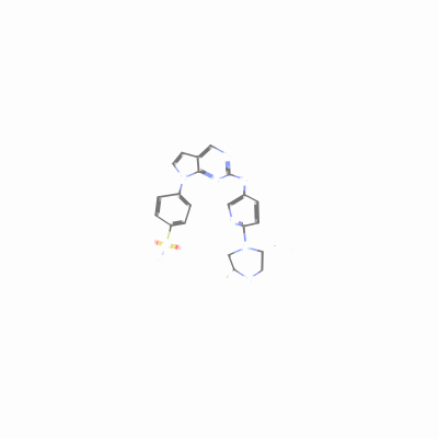 C[C@@H]1CN[C@@H](C)CN1c1ccc(Nc2ncc3ccn(-c4ccc(S(N)(=O)=O)cc4)c3n2)cn1